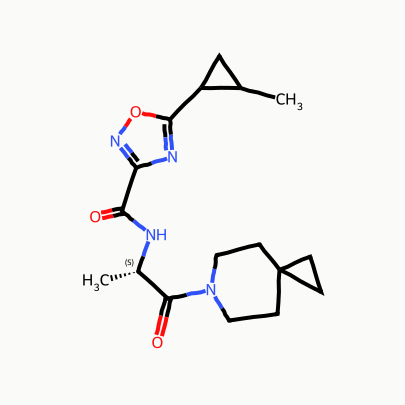 CC1CC1c1nc(C(=O)N[C@@H](C)C(=O)N2CCC3(CC2)CC3)no1